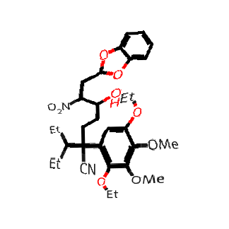 CCOc1cc(C(C#N)(CCC(O)C(CC2Oc3ccccc3O2)[N+](=O)[O-])C(CC)CC)c(OCC)c(OC)c1OC